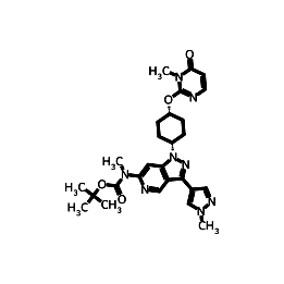 CN(C(=O)OC(C)(C)C)c1cc2c(cn1)c(-c1cnn(C)c1)nn2[C@H]1CC[C@@H](Oc2nccc(=O)n2C)CC1